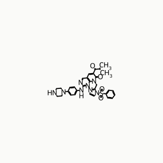 CC(C)C(=O)c1cc2cnc(Nc3ccc(N4CCNCC4)cc3)nc2n(Cc2nccn2S(=O)(=O)c2ccccc2)c1=O